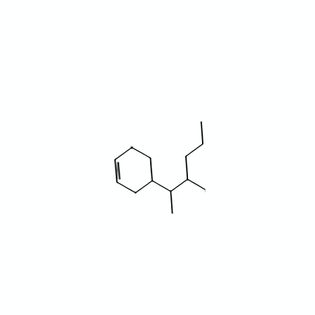 CCCC(C)C(C)C1CC=CCC1